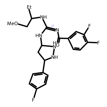 CCC(COC)N/C(=N/C(=O)c1ccc(F)c(F)c1)NC1CC(c2ccc(F)cc2)NN1